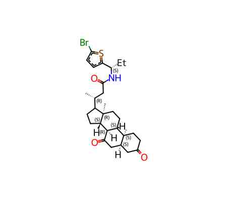 CC[C@H](NC(=O)C[C@@H](C)C1CC[C@H]2[C@@H]3C(=O)C[C@@H]4CC(=O)CC[C@]4(C)[C@H]3CC[C@]12C)c1ccc(Br)s1